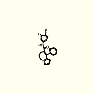 O=C(Nc1ccc(F)c(F)c1)C1=C(c2ccccc2)c2cccn2CCC1